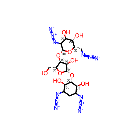 [N-]=[N+]=NC[C@@H]1O[C@H](O[C@H]2[C@@H](O)[C@H](O[C@H]3[C@H](O)C(N=[N+]=[N-])CC(N=[N+]=[N-])[C@@H]3O)O[C@@H]2CO)C(N=[N+]=[N-])[C@@H](O)[C@@H]1O